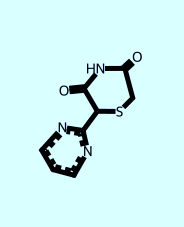 O=C1CSC(c2ncccn2)C(=O)N1